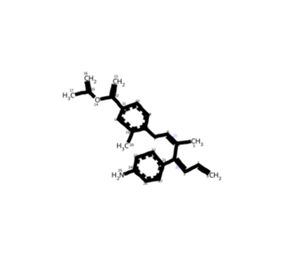 C=C/C=C(\C(C)=C/Cc1ccc(C(=C)OC(=C)C)cc1C)c1ccc(N)cc1